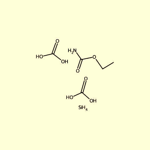 CCOC(N)=O.O=C(O)O.O=C(O)O.[SiH4]